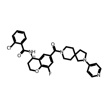 O=C(N[C@@H]1CCOc2c(F)cc(C(=O)N3CCC4(CC3)CCN(c3ccncc3)C4)cc21)c1ccccc1Cl